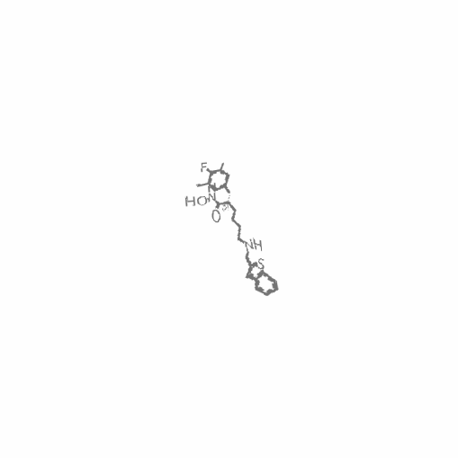 Cc1cc(C[C@H](CCCCNCc2cc3ccccc3s2)C(=O)NO)cc(C)c1F